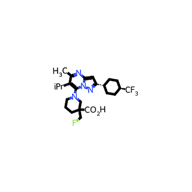 Cc1nc2cc([C@H]3CC[C@H](C(F)(F)F)CC3)nn2c(N2CCCC(CF)(C(=O)O)C2)c1C(C)C